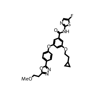 COCCc1nnc(-c2ccc(Oc3cc(OCCC4CC4)cc(C(=O)Nc4ncc(F)s4)c3)cc2)o1